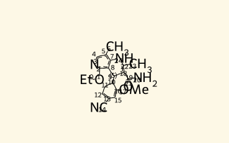 CCOc1ncc(C)c2c1[C@H](C1CC=C(C#N)C=C1OC)C(C(N)=O)=C(C)N2